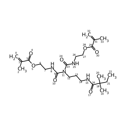 C=C(C)C(=O)OCCNC(=O)N(CCCNC(=O)C(C)(C)CC)C(=O)NCCOC(=O)C(=C)C